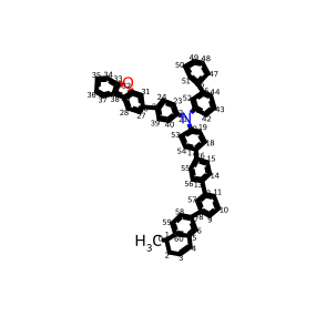 CC1CC=Cc2cc(-c3cccc(-c4ccc(-c5ccc(N(c6ccc(-c7ccc8c(c7)oc7ccccc78)cc6)c6cccc(-c7ccccc7)c6)cc5)cc4)c3)ccc21